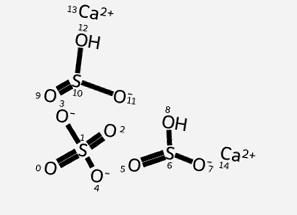 O=S(=O)([O-])[O-].O=S([O-])O.O=S([O-])O.[Ca+2].[Ca+2]